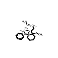 CCCC1(OC)CCCC[Si]1(OC)OC.CN.c1ccccc1